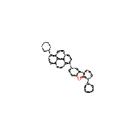 c1ccc(-c2cccc3c2oc2ccc(-c4ccc5ccc6c(C7CCCCC7)ccc7ccc4c5c76)cc23)cc1